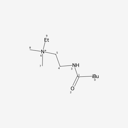 CCC(C)C(=O)NCC[N+](C)(C)CC